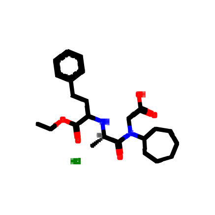 CCOC(=O)C(CCc1ccccc1)N[C@@H](C)C(=O)N(CC(=O)O)C1CCCCCC1.Cl